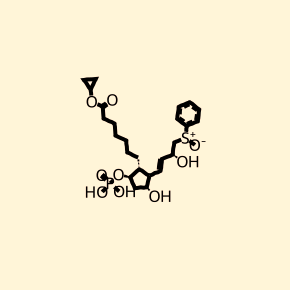 O=C(CCCCCC[C@@H]1C(C=C[C@@H](O)C[S+]([O-])c2ccccc2)[C@H](O)C[C@H]1OP(=O)(O)O)OC1CC1